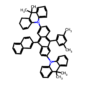 Cc1cc(C)cc(-c2c3ccc(N4C5=C(CCC=C5)C(C)(C)c5ccccc54)cc3c(-c3ccc4ccccc4c3)c3ccc(N4c5ccccc5C(C)(C)c5ccccc54)cc23)c1